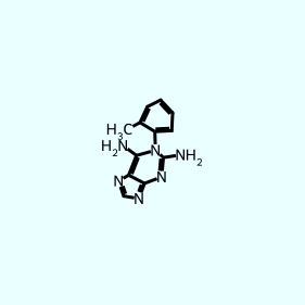 Cc1ccccc1-n1c(N)nc2ncnc-2c1N